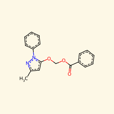 Cc1cc(OCOC(=O)c2ccccc2)n(-c2ccccc2)n1